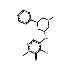 CN1C[C@H](Nc2cnn(C)c(=O)c2Cl)C[C@@H](c2ccccc2)C1